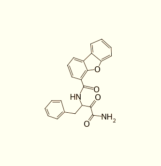 NC(=O)C(=O)C(Cc1ccccc1)NC(=O)c1cccc2c1oc1ccccc12